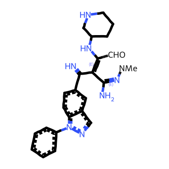 CN/N=C(N)\C(C(=N)c1ccc2c(cnn2-c2ccccc2)c1)=C(/C=O)NC1CCCNC1